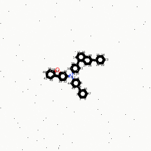 c1ccc(-c2ccc(N(c3ccc(-c4cccc5cc(-c6ccccc6)ccc45)cc3)c3ccc4c(c3)oc3ccccc34)cc2)cc1